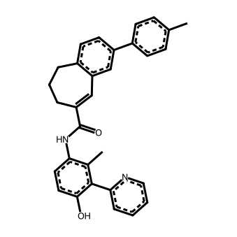 Cc1ccc(-c2ccc3c(c2)C=C(C(=O)Nc2ccc(O)c(-c4ccccn4)c2C)CCC3)cc1